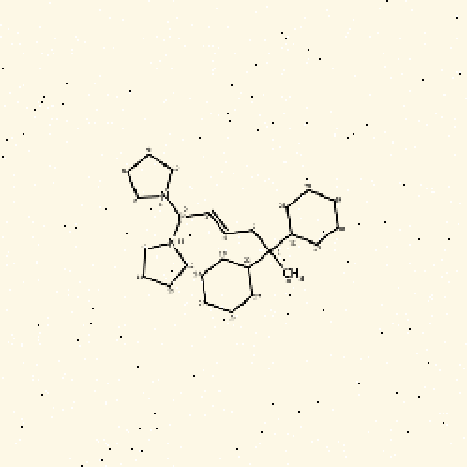 CC(CC=CP(N1CCCC1)N1CCCC1)(C1CCCCC1)C1CCCCC1